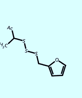 CC(=O)C(C)SSSCc1ccco1